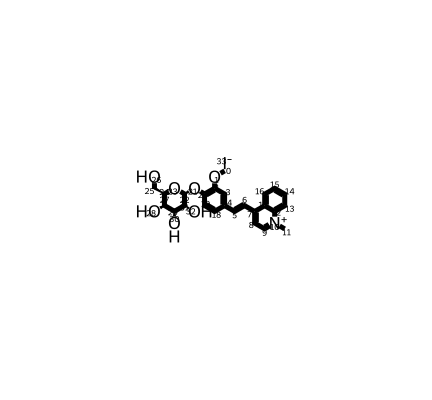 COc1cc(C=Cc2cc[n+](C)c3ccccc23)ccc1O[C@@H]1O[C@H](CO)[C@H](O)[C@H](O)[C@H]1O.[I-]